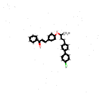 O=C(C=Cc1ccc(OC(CCc2ccc(-c3ccc(Cl)cc3)cc2)C(=O)O)cc1)c1ccccc1